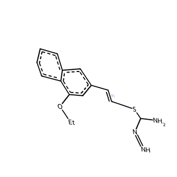 CCOc1cc(/C=C/SC(N)N=N)cc2ccccc12